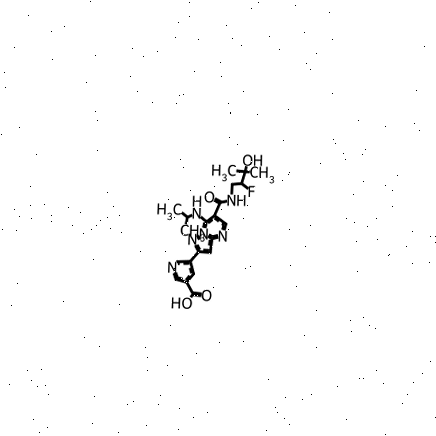 CC(C)Nc1c(C(=O)NCC(F)C(C)(C)O)cnc2cc(-c3cncc(C(=O)O)c3)nn12